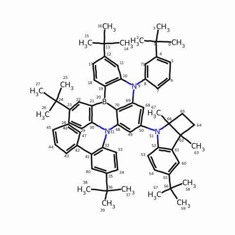 CC(C)(C)c1cccc(N2c3cc(C(C)(C)C)ccc3B3c4cc(C(C)(C)C)ccc4N(c4ccc(C(C)(C)C)cc4-c4ccccc4)c4cc(N5c6ccc(C(C)(C)C)cc6C6(C)CCC56C)cc2c43)c1